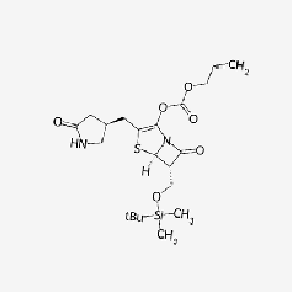 C=CCOC(=O)OC1=C(C[C@H]2CNC(=O)C2)S[C@@H]2[C@@H](CO[Si](C)(C)C(C)(C)C)C(=O)N12